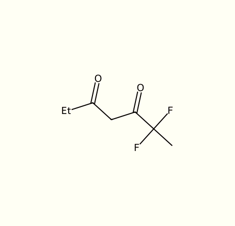 CCC(=O)CC(=O)C(C)(F)F